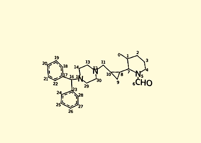 CC1CCCN(C=O)C1C1CC1CN1CCN(C(c2ccccc2)c2ccccc2)CC1